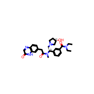 CCN(CC)C(=O)c1cccc([C@@H](CN2CC[C@H](O)C2)N(C)C(=O)Cc2ccc3ncc(=O)[nH]c3c2)c1